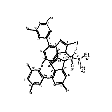 CCC1=Cc2c(-c3cc(C)cc(C)c3)cc(C)cc2[CH]1[Zr]([Cl])([Cl])([CH]1C(C)=Cc2c(-c3cc(C)cc(C)c3)cc(C)cc21)[SiH](CC)CC